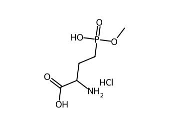 COP(=O)(O)CCC(N)C(=O)O.Cl